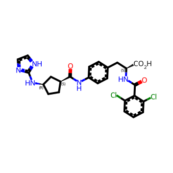 O=C(N[C@@H](Cc1ccc(NC(=O)[C@H]2CC[C@@H](Nc3ncc[nH]3)C2)cc1)C(=O)O)c1c(Cl)cccc1Cl